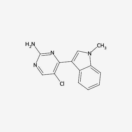 Cn1cc(-c2nc(N)ncc2Cl)c2ccccc21